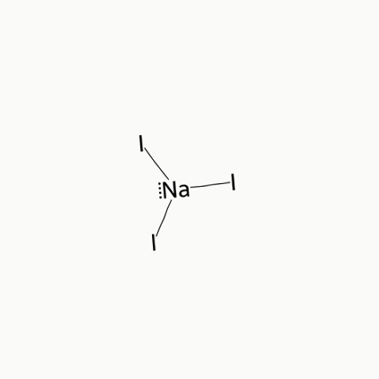 [I][Na]([I])[I]